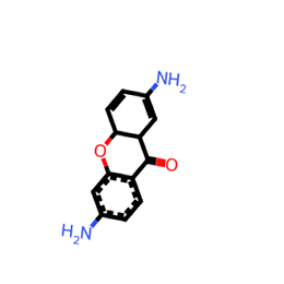 NC1=CC2C(=O)c3ccc(N)cc3OC2C=C1